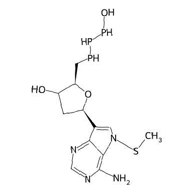 CSn1cc([C@H]2CC(O)[C@@H](CPPPO)O2)c2ncnc(N)c21